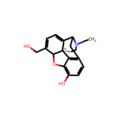 CN1CC[C@@]23C4=CC=C(CO)C2Oc2c(O)ccc(c23)CC41